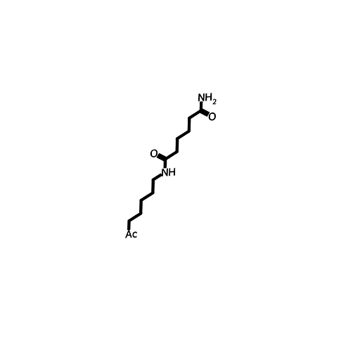 CC(=O)CCCCCNC(=O)CCCCC(N)=O